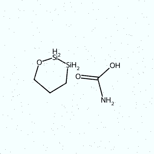 C1CO[SiH2][SiH2]C1.NC(=O)O